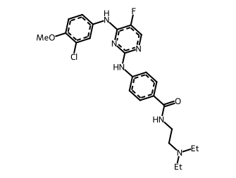 CCN(CC)CCNC(=O)c1ccc(Nc2ncc(F)c(Nc3ccc(OC)c(Cl)c3)n2)cc1